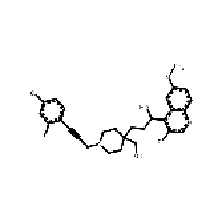 COc1ccc2ncc(Cl)c(C(O)CCC3(CO)CCN(CC#Cc4ccc(Cl)cc4F)CC3)c2c1